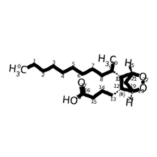 CCCCCCCCCC(C)[C@H]1[C@@H](CCCC(=O)O)[C@H]2C[C@H]1OO2